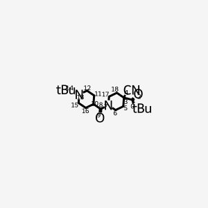 CC(C)(C)C(=O)C1(C#N)CCN(C(=O)C2CCN(C(C)(C)C)CC2)CC1